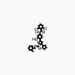 Cc1ccccc1CNC(=O)n1nc(-c2ccc(NC(=O)c3c(Cl)cccc3Cl)cc2O)cc1C1CCCC1